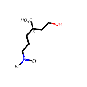 CCN(CC)CCC[C@H](CCO)C(=O)O